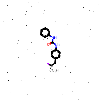 O=C(Nc1ccccc1)Nc1ccc(C[C@@H](I)C(=O)O)cc1